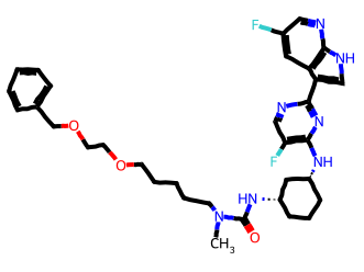 CN(CCCCCOCCOCc1ccccc1)C(=O)N[C@H]1CCC[C@@H](Nc2nc(-c3c[nH]c4ncc(F)cc34)ncc2F)C1